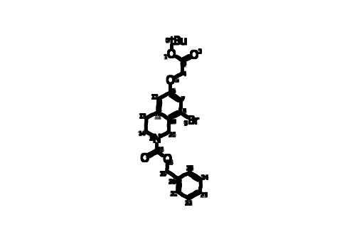 CC(C)(C)OC(=O)COc1cc(Br)c2c(c1)CCN(C(=O)OCc1ccccc1)C2